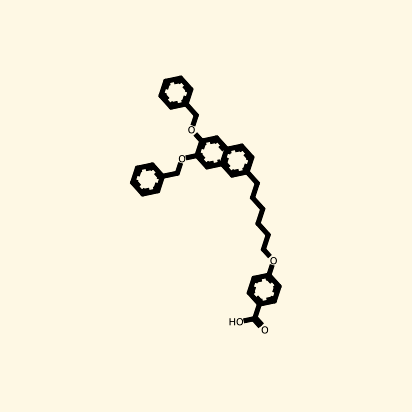 O=C(O)c1ccc(OCCCCCCc2ccc3cc(OCc4ccccc4)c(OCc4ccccc4)cc3c2)cc1